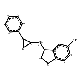 Clc1ccc2c(c1)C(NC1CC1c1ccccc1)CC2